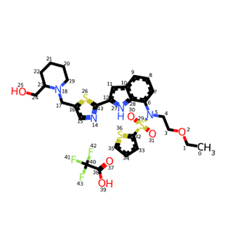 CCOCCN(c1cccc2cc(-c3ncc(CN4CCCCC4CO)s3)[nH]c12)S(=O)(=O)c1cccs1.O=C(O)C(F)(F)F